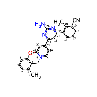 Cc1ccccc1Cn1ccc(-c2cc(-c3cccc(C#N)c3C)nc(N)n2)cc1=O